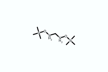 C[Si](C)(C)O[SiH2]C[SiH2]O[Si](C)(C)C